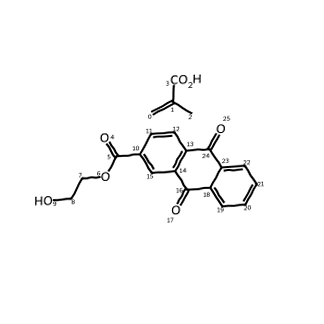 C=C(C)C(=O)O.O=C(OCCO)c1ccc2c(c1)C(=O)c1ccccc1C2=O